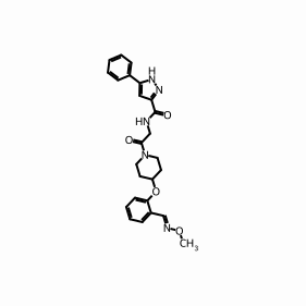 CON=Cc1ccccc1OC1CCN(C(=O)CNC(=O)c2cc(-c3ccccc3)[nH]n2)CC1